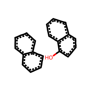 Oc1cccc2ccccc12.c1ccc2ccccc2c1